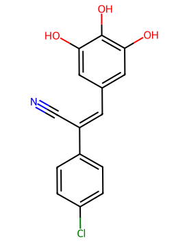 N#CC(=Cc1cc(O)c(O)c(O)c1)c1ccc(Cl)cc1